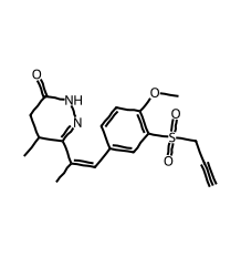 C#CCS(=O)(=O)c1cc(C=C(C)C2=NNC(=O)CC2C)ccc1OC